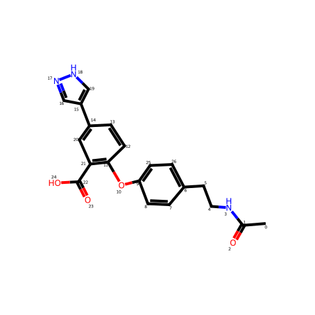 CC(=O)NCCc1ccc(Oc2ccc(-c3cn[nH]c3)cc2C(=O)O)cc1